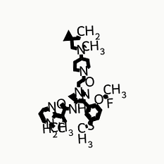 C=C/C(C(=O)Nc1cn(CC(=O)N2CCC(N(C)CC3(C=C)CC3)CC2)nc1-c1cc(SC)ccc1OC(C)F)=C1/N=CC=CN1C